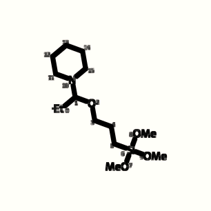 C[CH]C(OCCC[Si](OC)(OC)OC)N1CCCCC1